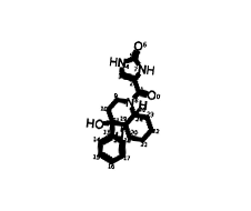 O=C(c1c[nH]c(=O)[nH]1)N1CCC(O)(c2ccccc2)[C@H]2CCCC[C@H]21